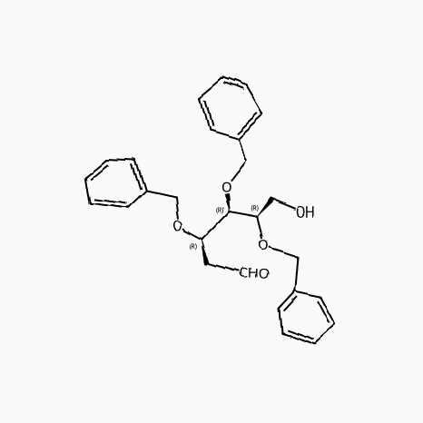 O=CC[C@@H](OCc1ccccc1)[C@@H](OCc1ccccc1)[C@@H](CO)OCc1ccccc1